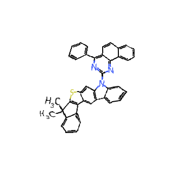 CC1(C)c2ccccc2-c2c1sc1cc3c(cc21)c1ccccc1n3-c1nc(-c2ccccc2)c2ccc3ccccc3c2n1